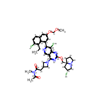 CCc1c(F)ccc2cc(OCOC)cc(-c3ncc4c(N5CC(CC(=O)N(C)C(C)=O)C5)nc(OC[C@@]56CCCN5C[C@H](F)C6)nc4c3F)c12